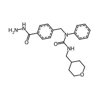 NNC(=O)c1ccc(CN(C(=O)NCC2CCOCC2)c2ccccc2)cc1